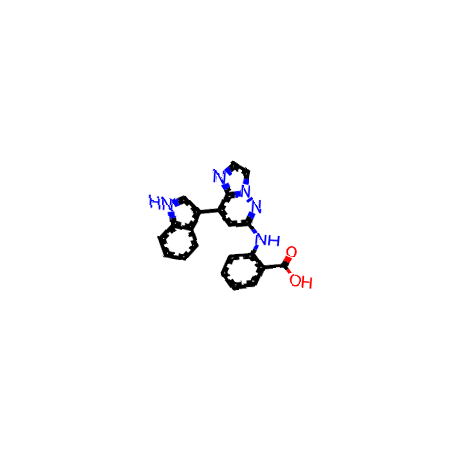 O=C(O)c1ccccc1Nc1cc(-c2c[nH]c3ccccc23)c2nccn2n1